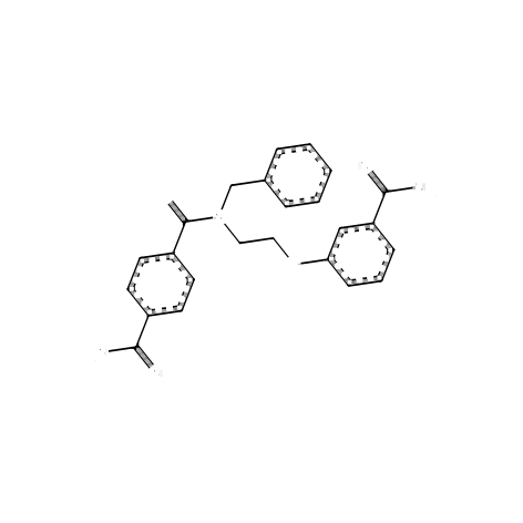 N=C(N)c1ccc(C(=O)N(CCOc2cccc(C(=N)N)c2)Cc2ccccc2)cc1